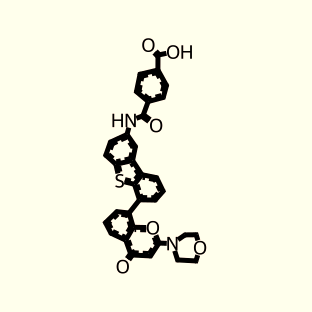 O=C(O)c1ccc(C(=O)Nc2ccc3sc4c(-c5cccc6c(=O)cc(N7CCOCC7)oc56)cccc4c3c2)cc1